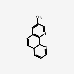 Cc1cnc2c(c1)C=CC1C=CC=NC21